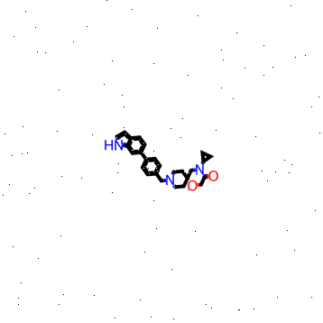 O=C1COC2(CCN(Cc3ccc(-c4ccc5cc[nH]c5c4)cc3)CC2)CN1C1CC1